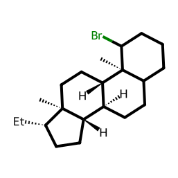 CC[C@H]1CC[C@H]2[C@@H]3CCC4CCCC(Br)[C@]4(C)[C@H]3CC[C@]12C